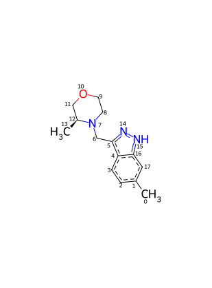 Cc1ccc2c(CN3CCOC[C@@H]3C)n[nH]c2c1